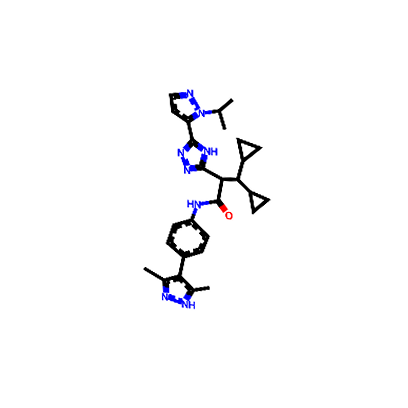 Cc1n[nH]c(C)c1-c1ccc(NC(=O)C(c2nnc(-c3ccnn3C(C)C)[nH]2)C(C2CC2)C2CC2)cc1